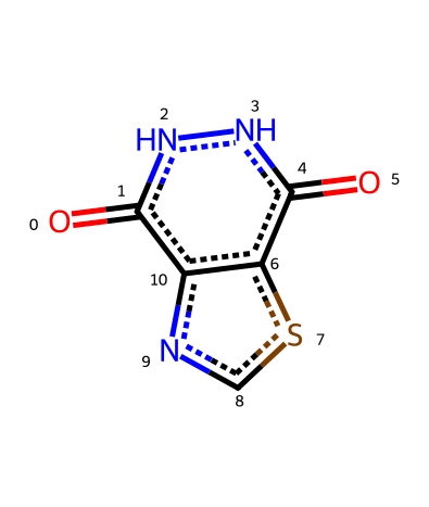 O=c1[nH][nH]c(=O)c2scnc12